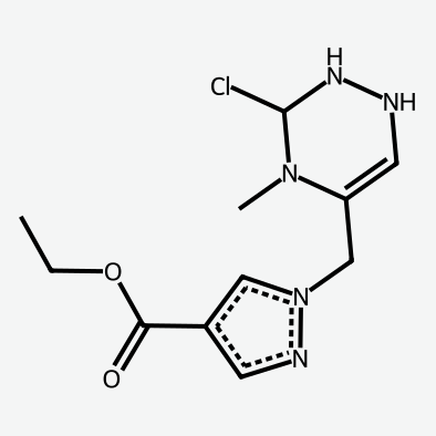 CCOC(=O)c1cnn(CC2=CNNC(Cl)N2C)c1